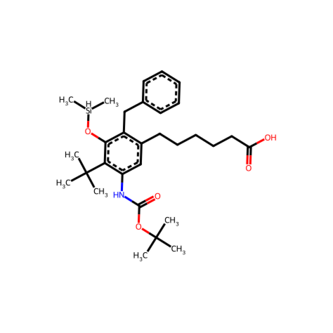 C[SiH](C)Oc1c(Cc2ccccc2)c(CCCCCC(=O)O)cc(NC(=O)OC(C)(C)C)c1C(C)(C)C